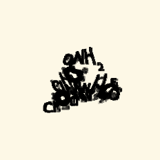 NC(=O)[C@H]1CC[C@@H](n2c(Nc3c(Cl)cc(Cl)cc3Cl)nc3cnc(N[C@H]4CCOC[C@@H]4F)nc32)CC1